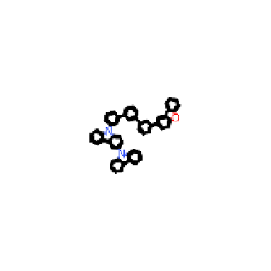 c1cc(-c2cccc(-c3ccc4oc5ccccc5c4c3)c2)cc(-c2cccc(-n3c4ccccc4c4cc(-n5c6ccccc6c6ccccc65)ccc43)c2)c1